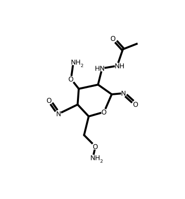 CC(=O)NNC1C(N=O)OC(CON)C(N=O)C1ON